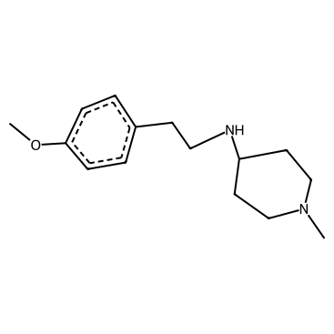 COc1ccc(CCNC2CCN(C)CC2)cc1